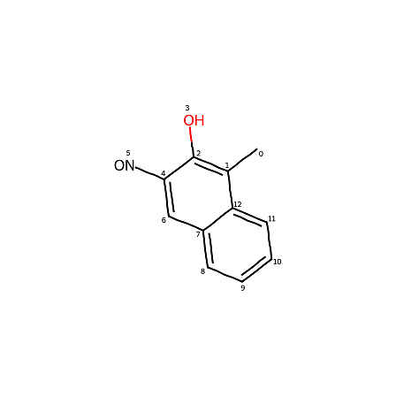 Cc1c(O)c(N=O)cc2ccccc12